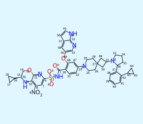 O=C(NS(=O)(=O)c1cc([N+](=O)[O-])c2c(n1)OC[C@H](C1CC1)N2)c1ccc(N2CCC3(CC2)CC(N2CCCC2c2ccccc2C2CC2)C3)cc1Oc1cnc2[nH]ccc2c1